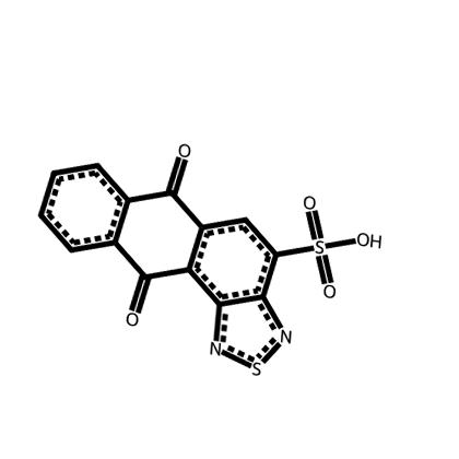 O=C1c2ccccc2C(=O)c2c1cc(S(=O)(=O)O)c1nsnc21